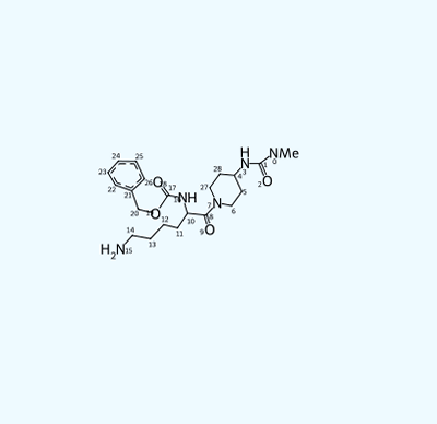 CNC(=O)NC1CCN(C(=O)C(CCCCN)NC(=O)OCc2ccccc2)CC1